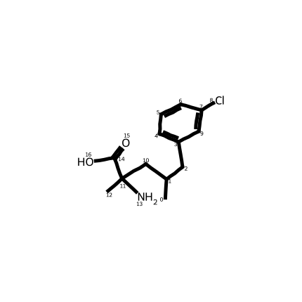 CC(Cc1cccc(Cl)c1)CC(C)(N)C(=O)O